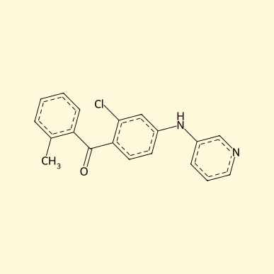 Cc1ccccc1C(=O)c1ccc(Nc2cccnc2)cc1Cl